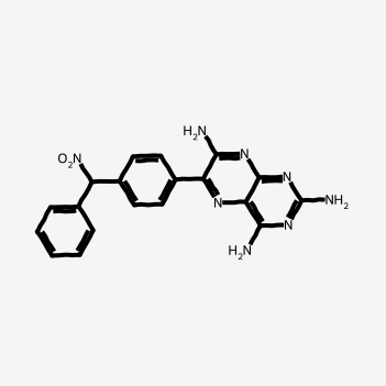 Nc1nc(N)c2nc(-c3ccc(C(c4ccccc4)[N+](=O)[O-])cc3)c(N)nc2n1